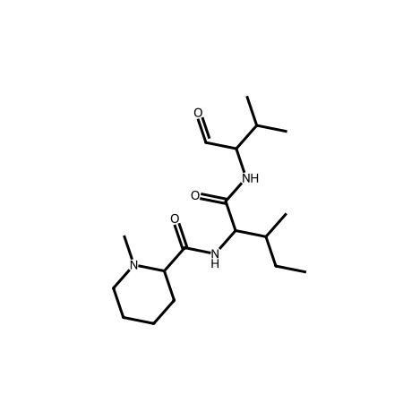 CCC(C)C(NC(=O)C1CCCCN1C)C(=O)NC(C=O)C(C)C